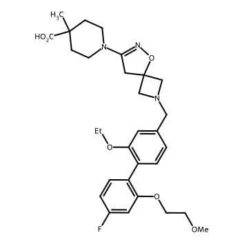 CCOc1cc(CN2CC3(CC(N4CCC(C)(C(=O)O)CC4)=NO3)C2)ccc1-c1ccc(F)cc1OCCOC